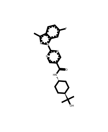 Cc1nn(-c2ncc(C(=O)N[C@H]3CC[C@H](C(C)(C)O)CC3)cn2)c2cc(F)ccc12